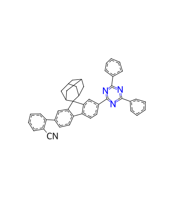 N#Cc1ccccc1-c1ccc2c(c1)C1(c3cc(-c4nc(-c5ccccc5)nc(-c5ccccc5)n4)ccc3-2)C2CC3CC(C2)CC1C3